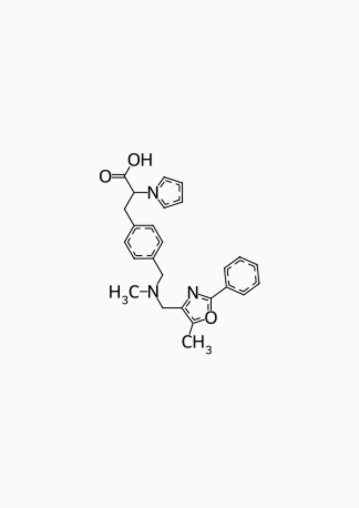 Cc1oc(-c2ccccc2)nc1CN(C)Cc1ccc(CC(C(=O)O)n2cccc2)cc1